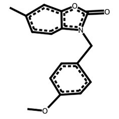 COc1ccc(Cn2c(=O)oc3cc(C)ccc32)cc1